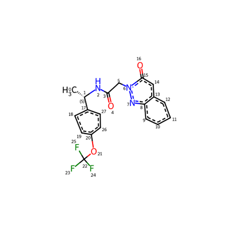 C[C@H](NC(=O)Cn1nc2ccccc2cc1=O)c1ccc(OC(F)(F)F)cc1